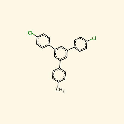 Cc1ccc(-c2cc(-c3ccc(Cl)cc3)cc(-c3ccc(Cl)cc3)c2)cc1